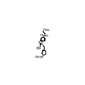 COCCS(=O)(=O)c1ccc2c(c1)nc(C(C)(C)C)n2CC1CCN(C=O)CC1